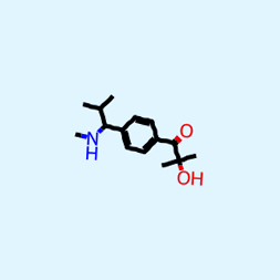 CNC(c1ccc(C(=O)C(C)(C)O)cc1)C(C)C